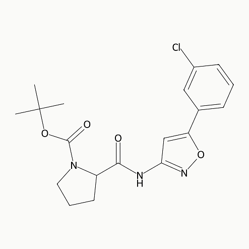 CC(C)(C)OC(=O)N1CCCC1C(=O)Nc1cc(-c2cccc(Cl)c2)on1